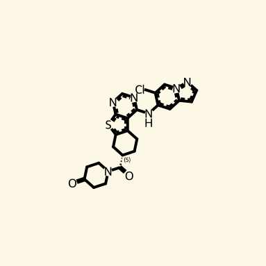 O=C1CCN(C(=O)[C@H]2CCc3c(sc4ncnc(Nc5cc6ccnn6cc5Cl)c34)C2)CC1